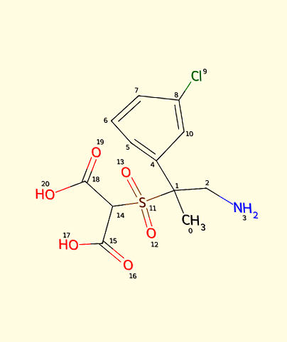 CC(CN)(c1cccc(Cl)c1)S(=O)(=O)C(C(=O)O)C(=O)O